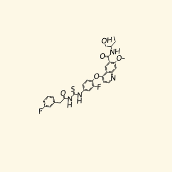 CCC(CO)NC(=O)c1cc2c(Oc3ccc(NC(=S)NC(=O)Cc4cccc(F)c4)cc3F)ccnc2cc1OC